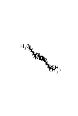 CCCCCCCc1cnc(-c2ccc(OCCCCCC(C)CC)cc2)nc1